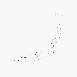 COCCOC(=O)CC(=O)OCCOC(=O)c1cc(C(c2ccc3c(c2)C(=O)N(c2c(C)c(C)c(N4C(=O)c5ccc(C(c6ccc(C(=O)OC7CCC(O)C(OC)CCC7O)c(C(C)=O)c6)(C(F)(F)F)C(F)(F)F)cc5C4=O)c(C)c2C)C3=O)(C(F)(F)F)C(F)(F)F)ccc1C(=O)OC1CCC(O)C(OC)CCC1O